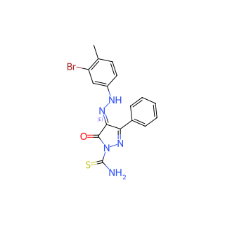 Cc1ccc(N/N=C2/C(=O)N(C(N)=S)N=C2c2ccccc2)cc1Br